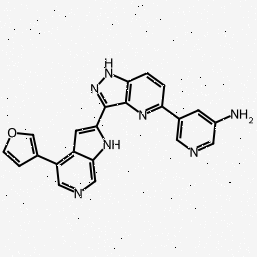 Nc1cncc(-c2ccc3[nH]nc(-c4cc5c(-c6ccoc6)cncc5[nH]4)c3n2)c1